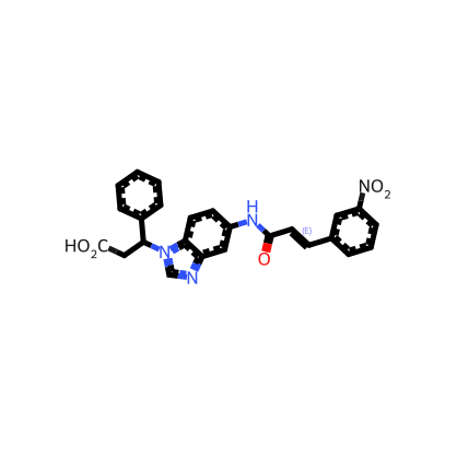 O=C(O)CC(c1ccccc1)n1cnc2cc(NC(=O)/C=C/c3cccc([N+](=O)[O-])c3)ccc21